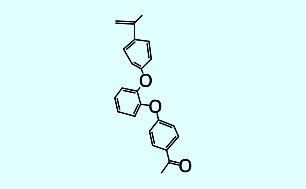 C=C(C)c1ccc(Oc2ccccc2Oc2ccc(C(C)=O)cc2)cc1